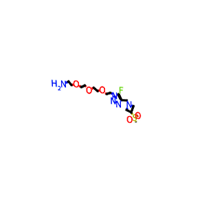 CS(=O)(=O)C1CN(Cc2nnn(CCOCCOCCOCCN)c2F)C1